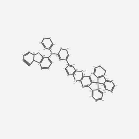 C1#CC2c3cccc(N(C4=CCCC=C4)C4=CC(c5ccc6c(c5)Oc5cc7c(cc5O6)-c5ccccc5C75C6=C(CCC=C6)c6ccccc65)=CCC4)c3SC2C=C1